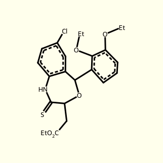 CCOC(=O)CC1OC(c2cccc(OCC)c2OCC)c2cc(Cl)ccc2NC1=S